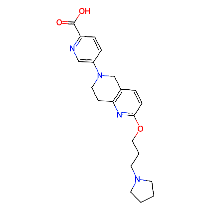 O=C(O)c1ccc(N2CCc3nc(OCCCN4CCCC4)ccc3C2)cn1